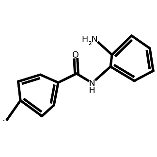 [CH2]c1ccc(C(=O)Nc2ccccc2N)cc1